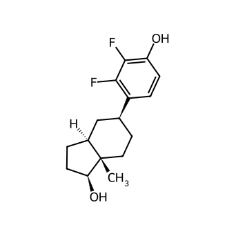 C[C@]12CC[C@H](c3ccc(O)c(F)c3F)C[C@@H]1CC[C@@H]2O